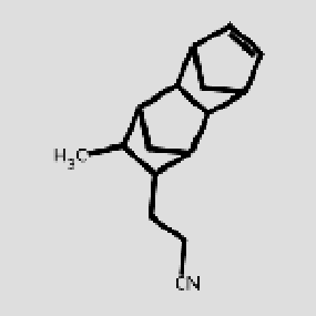 CC1C(CCC#N)C2CC1C1C3C=CC(C3)C21